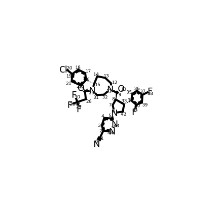 N#Cc1ccc(N2C[C@@H](C(=O)N3CCC[C@@H](c4ccc(Cl)cc4)N(C(=O)CC(F)(F)F)CC3)[C@H](c3ccc(F)cc3F)C2)nn1